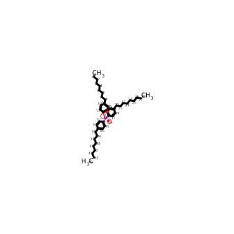 CCCCCCCCCc1ccc(OP(=O)(c2ccc(CCCCCCCCC)cc2)c2ccc(CCCCCCCCC)cc2)cc1